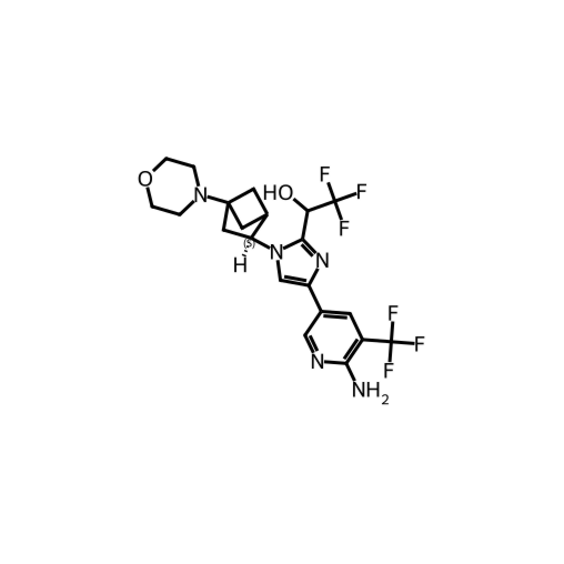 Nc1ncc(-c2cn([C@H]3CC4(N5CCOCC5)CC3C4)c(C(O)C(F)(F)F)n2)cc1C(F)(F)F